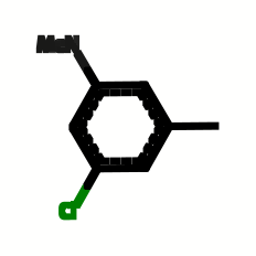 CNc1cc(C)cc(Cl)c1